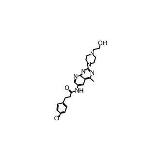 Cc1nc(N2CCN(CCO)CC2)nc2ncc(NC(=O)CCc3ccc(Cl)cc3)cc12